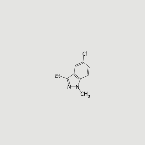 CCc1nn(C)c2ccc(Cl)cc12